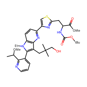 CCn1c(-c2cccnc2C(C)OC)c(CC(C)(C)CO)c2nc(-c3csc(CC(NC(=O)OC(C)(C)C)C(=O)OC)n3)ccc21